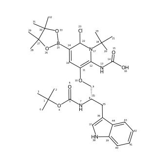 CC(C)(C)OC(=O)N[C@H](COC1=C(NC(=O)O)N(C(C)(C)C)C(Cl)C(B2OC(C)(C)C(C)(C)O2)=C1)Cc1c[nH]c2ccccc12